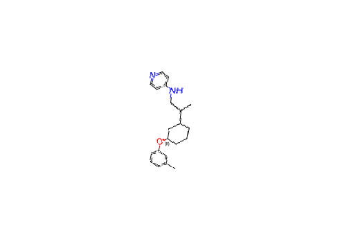 Cc1cccc(O[C@@H]2CCCC(C(C)CNc3ccncc3)C2)c1